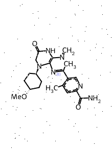 C=NC1=C(/N=C(\C)c2cnc(C(N)=O)cc2C)N([C@H]2CC[C@H](OC)CC2)CC(=O)N1